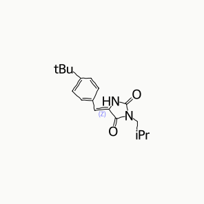 CC(C)CN1C(=O)N/C(=C\c2ccc(C(C)(C)C)cc2)C1=O